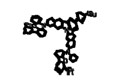 CC(C)c1cccc2c1oc1c(N(c3ccccc3)c3ccc4cc5c6cc(-c7ccc(C(C)(C)C)cc7)cc7c8cc9ccc(N(c%10ccccc%10)c%10cccc%11c%10oc%10c(C(C)C)cccc%10%11)cc9cc8n(c5cc4c3)c67)cccc12